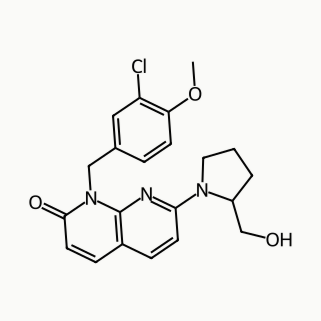 COc1ccc(Cn2c(=O)ccc3ccc(N4CCCC4CO)nc32)cc1Cl